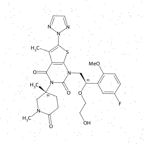 COc1ccc(F)cc1[C@H](Cn1c(=O)n([C@]2(C)CCC(=O)N(C)C2)c(=O)c2c(C)c(-n3nccn3)sc21)OCCO